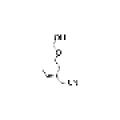 CC=C(CC#N)CCOCO